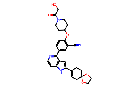 N#Cc1cc(-c2nccc3[nH]c(C4=CCC5(CC4)OCCO5)cc23)ccc1OC1CCN(C(=O)CO)CC1